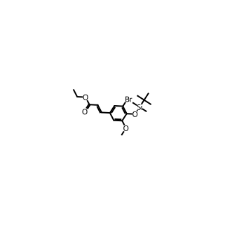 CCOC(=O)C=Cc1cc(Br)c(O[Si](C)(C)C(C)(C)C)c(OC)c1